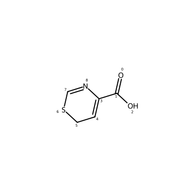 O=C(O)C1=CCSC=N1